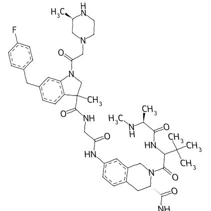 CN[C@@H](C)C(=O)NC(C(=O)N1Cc2cc(NC(=O)CNC(=O)C3(C)CN(C(=O)CN4CCN[C@H](C)C4)c4cc(Cc5ccc(F)cc5)ccc43)ccc2C[C@H]1C(N)=O)C(C)(C)C